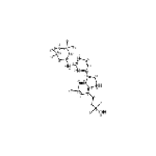 CC(C)(O)CCc1cc(F)cc2c(-c3ccnc(NC4CC(C)(C)NC(C)(C)C4)n3)c[nH]c12